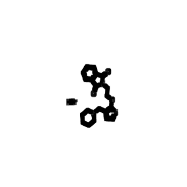 Br.O=C1c2ccccc2C(=O)N1CCOc1sccc1CN1CCCCC1